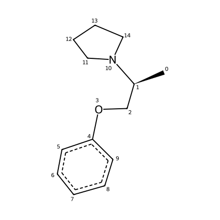 C[C@@H](COc1ccccc1)N1CCCC1